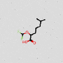 CC(C)CCCC(OC(F)F)C(=O)O